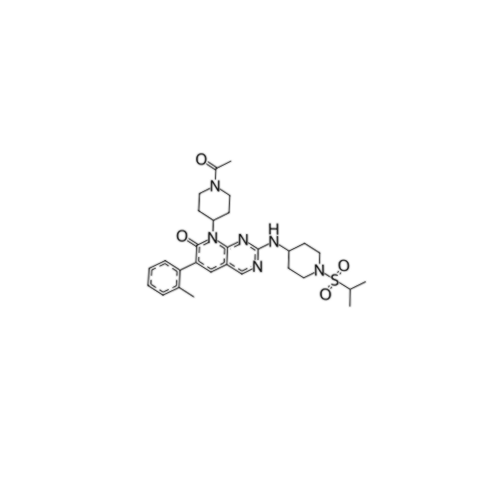 CC(=O)N1CCC(n2c(=O)c(-c3ccccc3C)cc3cnc(NC4CCN(S(=O)(=O)C(C)C)CC4)nc32)CC1